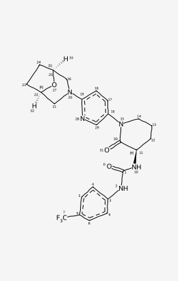 O=C(Nc1ccc(C(F)(F)F)cc1)N[C@@H]1CCCN(c2ccc(N3C[C@H]4CC[C@@H](C3)O4)nc2)C1=O